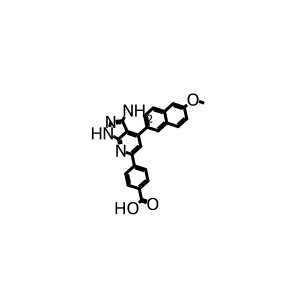 COc1ccc2cc(-c3cc(-c4ccc(C(=O)O)cc4)nc4[nH]nc(N)c34)ccc2c1